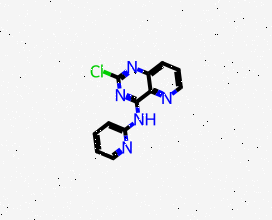 Clc1nc(Nc2ccccn2)c2ncccc2n1